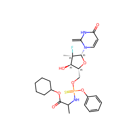 C=C1NC(=O)C=CN1[C@@H]1O[C@H](COP(=S)(NC(C)C(=O)OC2CCCCC2)Oc2ccccc2)[C@@H](O)[C@@]1(C)F